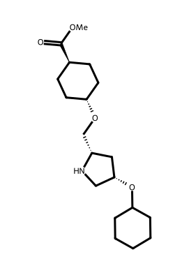 COC(=O)[C@H]1CC[C@H](OC[C@@H]2C[C@H](OC3CCCCC3)CN2)CC1